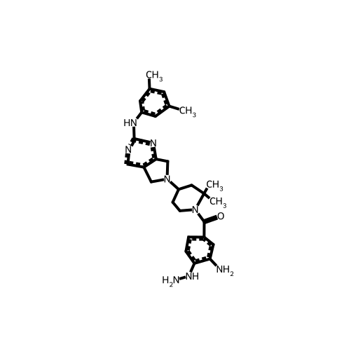 Cc1cc(C)cc(Nc2ncc3c(n2)CN(C2CCN(C(=O)c4ccc(NN)c(N)c4)C(C)(C)C2)C3)c1